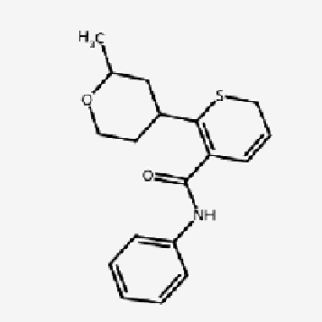 CC1CC(C2=C(C(=O)Nc3ccccc3)C=CCS2)CCO1